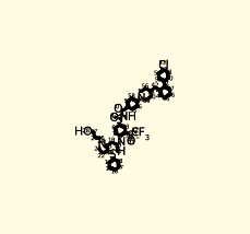 O=C(N[S+]([O-])c1ccc(NC(CSc2ccccc2)CC2CCCN2CCCO)c([S+]([O-])C(F)(F)F)c1)c1ccc(N2CCC(Cc3ccccc3-c3ccc(Cl)cc3)CC2)cc1